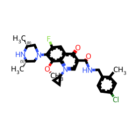 COc1c(N2C[C@@H](C)N[C@@H](C)C2)c(F)cc2c(=O)c(C(=O)NCc3ccc(Cl)cc3C)cn(C3CC3)c12